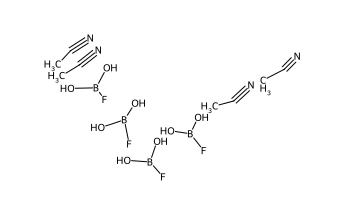 CC#N.CC#N.CC#N.CC#N.OB(O)F.OB(O)F.OB(O)F.OB(O)F